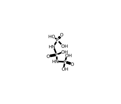 O=P(O)(O)NP(=O)(O)NP(=O)(O)O